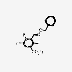 CCOC(=O)c1cc(F)c(F)c(C=NOCc2ccccc2)c1F